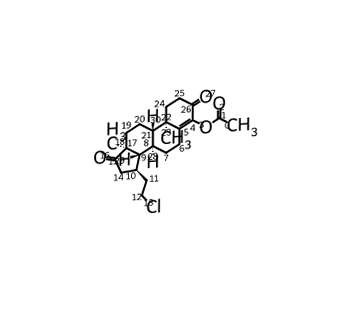 CC(=O)OC1=C2CC[C@H]3[C@@H]4[C@@H](CCCl)CC(=O)[C@@]4(C)CC[C@@H]3[C@@]2(C)CCC1=O